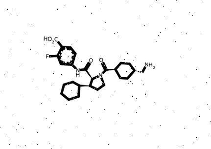 NC[C@H]1CC[C@H](C(=O)N2CC[C@@H](C3CCCCC3)[C@H]2C(=O)Nc2ccc(C(=O)O)c(F)c2)CC1